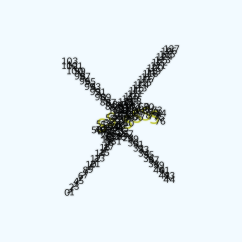 CCCCCCCCCCCCCCCCCCc1ccc(C2(c3ccc(CCCCCCCCCCCCCCCCCC)cc3)c3cc(C)sc3-c3sc4cc5c6c(sc5cc4c32)-c2sc(-c3ccc(-c4ccc(C)s4)s3)cc2C6(c2ccc(CCCCCCCCCCCCCCCCCC)cc2)c2ccc(CCCCCCCCCCCCCCCCCC)cc2)cc1